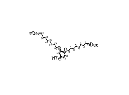 CCCCCCCCCCCCCCCCCCOc1ccc([TeH])cc1OCCCCCCCCCCCCCCCCCC